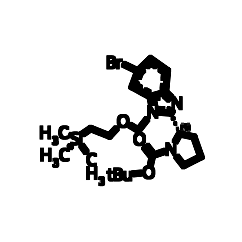 CC(C)(C)OC(=O)N1CCC[C@H]1c1nc2ccc(Br)cc2n1COCC[Si](C)(C)C